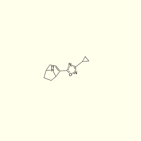 C1=C(c2nc(C3CC3)no2)C2CCC(C1)N2